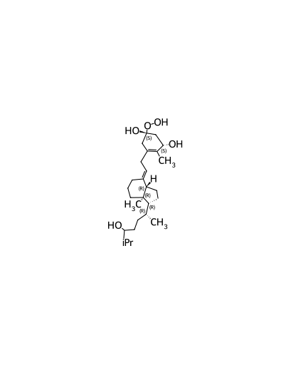 CC1=C(CC=C2CCC[C@]3(C)[C@@H]([C@H](C)CCC(O)C(C)C)CC[C@@H]23)C[C@](O)(OO)C[C@@H]1O